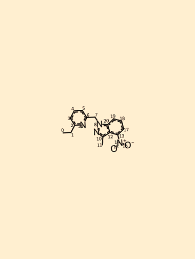 CCc1cccc(Cn2nc(C)c3c([N+](=O)[O-])cccc32)n1